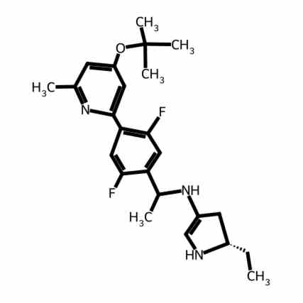 CC[C@H]1CC(NC(C)c2cc(F)c(-c3cc(OC(C)(C)C)cc(C)n3)cc2F)=CN1